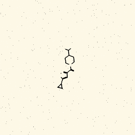 CC(C)C1CCN(C(=O)c2cc(C3CC3)on2)CC1